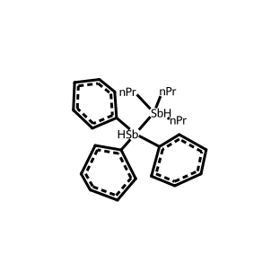 CC[CH2][SbH]([CH2]CC)([CH2]CC)[SbH]([c]1ccccc1)([c]1ccccc1)[c]1ccccc1